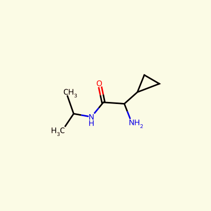 CC(C)NC(=O)C(N)C1CC1